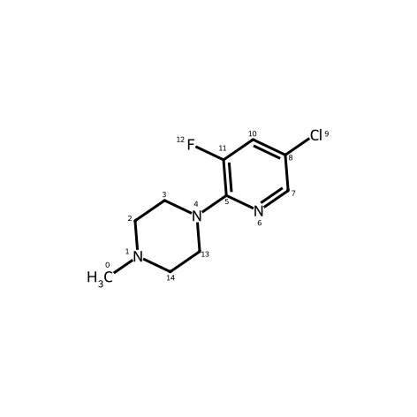 CN1CCN(c2ncc(Cl)cc2F)CC1